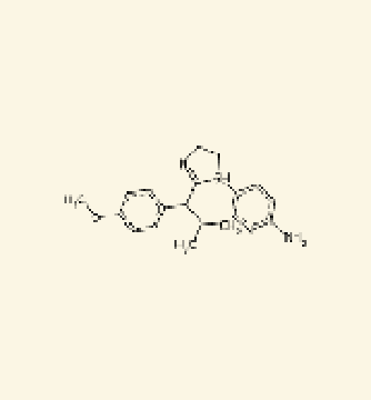 COc1ccc(C(C2=NCC[SH]2c2ccc(N)nc2)C(C)C)cc1